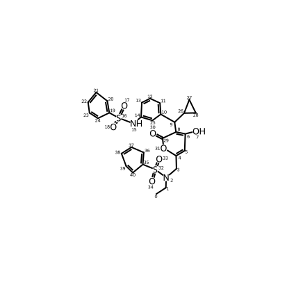 CCN(Cc1cc(O)c(C(c2cccc(NS(=O)(=O)c3ccccc3)c2)C2CC2)c(=O)o1)S(=O)(=O)c1ccccc1